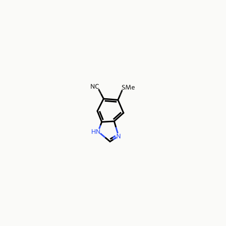 CSc1cc2nc[nH]c2cc1C#N